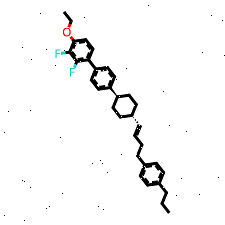 CCCc1ccc(CC/C=C/[C@H]2CC[C@H](c3ccc(-c4ccc(OCC)c(F)c4F)cc3)CC2)cc1